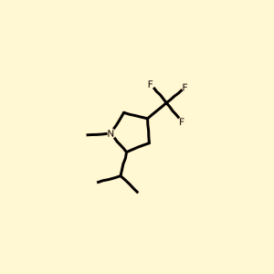 CC(C)C1CC(C(F)(F)F)CN1C